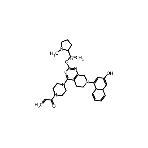 C=CC(=O)N1CCN(c2nc(O[C@H](C)C3CCCN3C)nc3c2CCN(C2=CC(O)=CC4C=CC=CC24)C3)CC1